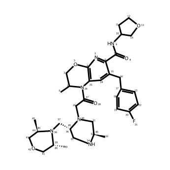 CC1COc2nc(C(=O)NC3CCOC3)c(Cc3ccc(F)cc3)cc2N1C(=O)CN1C[C@@H](C)NC[C@@H]1CN1[C@H](C)COC[C@H]1C